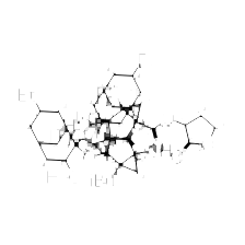 CCC1CC2CC(C)C(C)(OC(=O)C3(C(C)CC)CC3(C)C(CC)C3(C(=O)OC4CCOC4=O)CC3(C)C(CC)C3(C(=O)OC45CC(CC)CC(CC(C)(O)C4)C5)CC3C)C(C1)C2